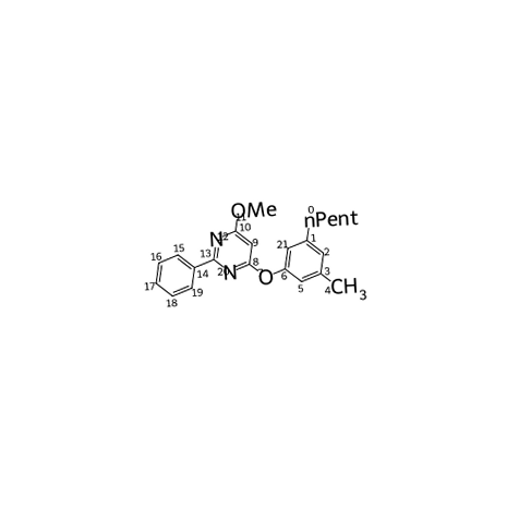 CCCCCc1cc(C)cc(Oc2cc(OC)nc(-c3ccccc3)n2)c1